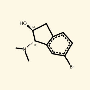 CN(C)[C@H]1c2cc(Br)ccc2C[C@@H]1O